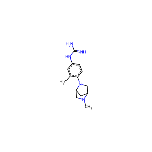 Cc1cc(NC(=N)N)ccc1N1CC2CC1CN2C